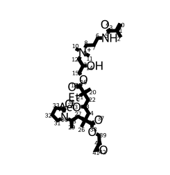 C=C(C)C(=O)NCCC[N+](C)(C)CC(O)COC(=O)C(C)(CC)CC(CC(C)(CC(C)N1CCCC1=O)C(=O)OCC1CO1)OC(C)=O